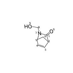 O=C1C2C=CC(C2)N1CO